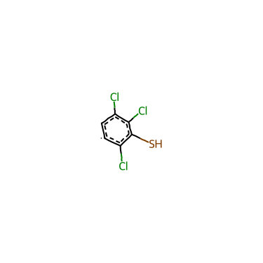 Sc1c(Cl)[c]cc(Cl)c1Cl